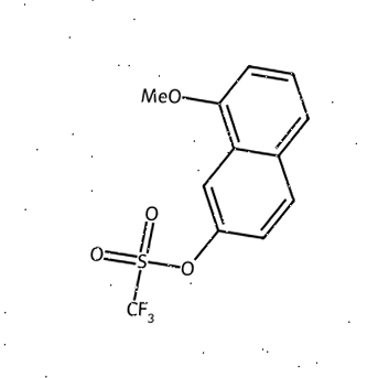 COc1cccc2ccc(OS(=O)(=O)C(F)(F)F)cc12